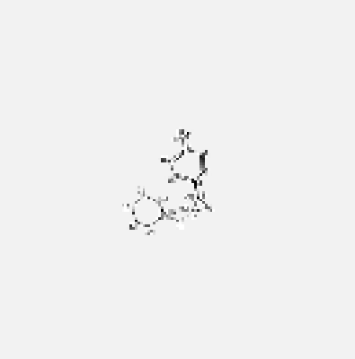 Brc1ccc([C@H]2C[C@@H]2CN2CCCCC2)cc1